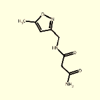 Cc1cc(CNC(=O)CC(N)=O)no1